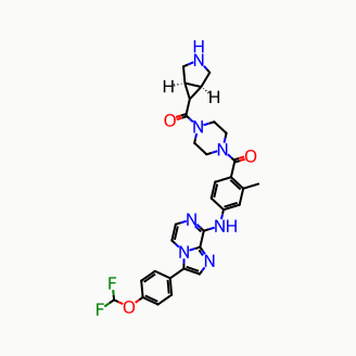 Cc1cc(Nc2nccn3c(-c4ccc(OC(F)F)cc4)cnc23)ccc1C(=O)N1CCN(C(=O)C2[C@H]3CNC[C@@H]23)CC1